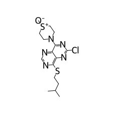 CC(C)CCSc1ncnc2c(N3CC[S+]([O-])CC3)nc(Cl)nc12